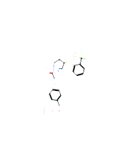 O=C(COc1ccc(CO)cc1)N1CCC(Sc2ccccc2C(F)(F)F)C1